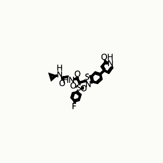 O=C(CNC(=O)C(c1nc2ccc(-c3ccnc(O)c3)cc2s1)S(=O)(=O)c1ccc(F)cc1)NC1CC1